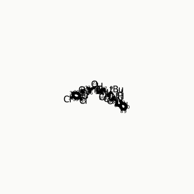 CC(C)(C)[C@H](NC(=O)c1cc2ccccc2[nH]1)C(=O)N1C[C@H]2N(C(=O)C3CN(S(=O)(=O)c4ccc(Cl)cc4Cl)C3)CC21C